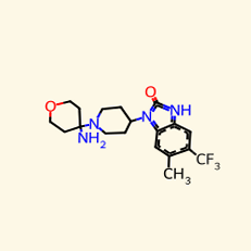 Cc1cc2c(cc1C(F)(F)F)[nH]c(=O)n2C1CCN(C2(N)CCOCC2)CC1